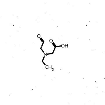 CCN(CC=O)CC(=O)O